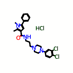 Cc1c(C(=O)NCCCN2CCN(c3ccc(Cl)c(Cl)c3)CC2)cc(-c2ccccc2)n1C.Cl